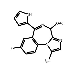 CC(=O)OC1N=C(c2ccc[nH]2)c2cc(F)ccc2-n2c(C)cnc21